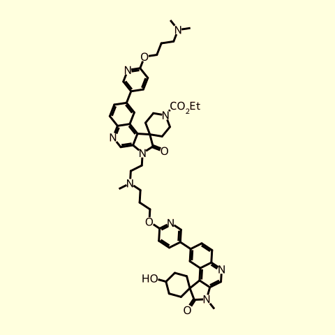 CCOC(=O)N1CCC2(CC1)C(=O)N(CCN(C)CCCOc1ccc(-c3ccc4ncc5c(c4c3)C3(CCC(O)CC3)C(=O)N5C)cn1)c1cnc3ccc(-c4ccc(OCCCN(C)C)nc4)cc3c12